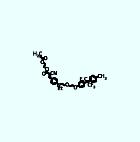 C=CC(=O)OCCOC(=O)/C(C#N)=C/c1ccc(N(CC)CCOCCOc2ccc(C(c3ccc(C)cc3)(C(F)(F)F)C(F)(F)F)cc2)cc1